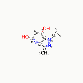 Cc1nn(C2CC2)c2c(O)cc(O)nc12